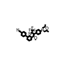 COc1c(-c2ccc(N3CC(C)OC(C)C3)cc2)c(C(F)(F)F)nc2c(-c3ccc(C#N)cc3)cccc12